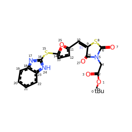 CC(C)(C)OC(=O)CN1C(=O)S/C(=C/c2ccc(Sc3nc4ccccc4[nH]3)o2)C1=O